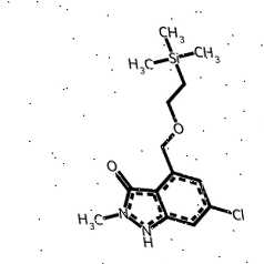 Cn1[nH]c2cc(Cl)cc(COCC[Si](C)(C)C)c2c1=O